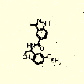 CCC(NC(=O)c1ccc2[nH]nc(I)c2c1)c1cccc(OC)c1